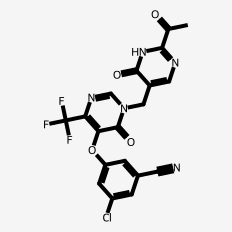 CC(=O)c1ncc(Cn2cnc(C(F)(F)F)c(Oc3cc(Cl)cc(C#N)c3)c2=O)c(=O)[nH]1